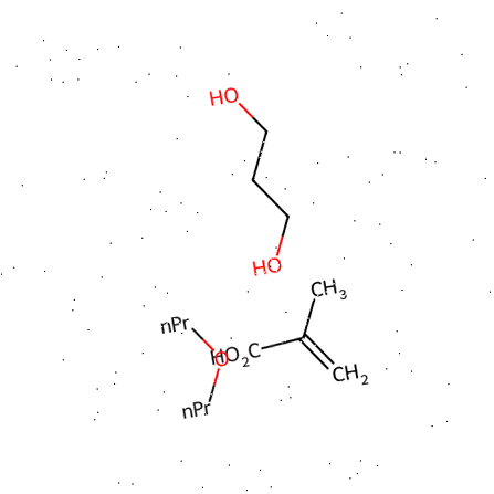 C=C(C)C(=O)O.CCCOCCC.OCCCO